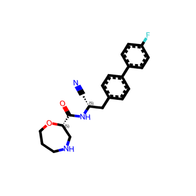 N#C[C@H](Cc1ccc(-c2ccc(F)cc2)cc1)NC(=O)[C@@H]1CNCCCO1